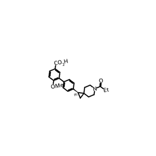 CCC(=O)N1CCC2(CC1)C[C@H]2c1ccc(-c2cc(C(=O)O)ccc2OC)cc1